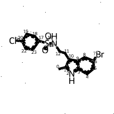 Cc1[nH]c2ccc(Br)cc2c1CCNS(=O)(=O)c1ccc(Cl)cc1